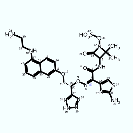 CC1(C)C(NC(=O)/C(=N\O[C@@H](COc2ccc3c(NCCN)cccc3c2)c2nn[nH]n2)c2csc(N)n2)C(=O)N1OS(=O)(=O)O